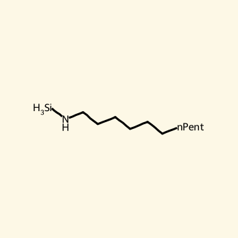 CCCCCCCCCCCN[SiH3]